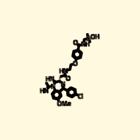 COc1ccc2c(c1)C(c1ccc(Cl)cc1)=N[C@@H](CC(=O)NCCOc1ccc(C(=O)NC[Si](C)(C)O)cc1)C(=N)N2C(C)=N